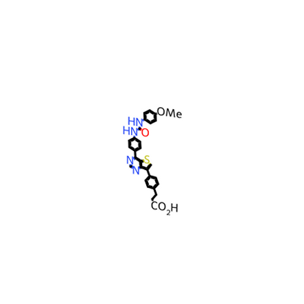 COc1ccc(NC(=O)Nc2ccc(-c3ncnc4c(-c5ccc(CCC(=O)O)cc5)csc34)cc2)cc1